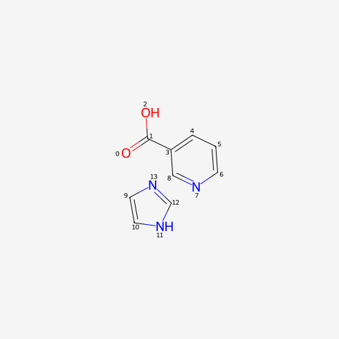 O=C(O)c1cccnc1.c1c[nH]cn1